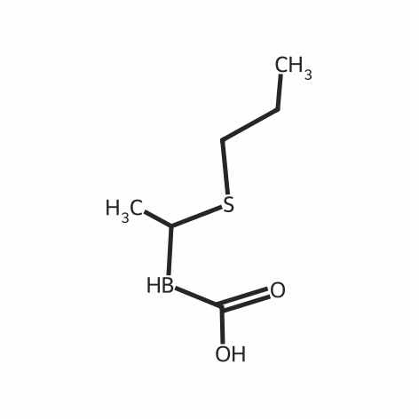 CCCSC(C)BC(=O)O